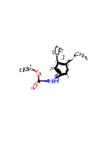 COc1ccc(NC(=O)OC(C)(C)C)cc1C(F)(F)F